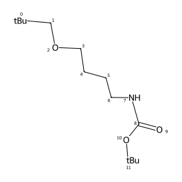 CC(C)(C)COCCCCNC(=O)OC(C)(C)C